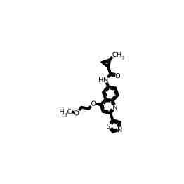 COCCOc1cc(-c2cncs2)nc2ccc(NC(=O)C3CC3C)cc12